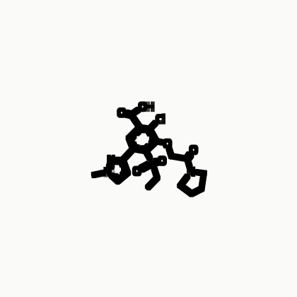 CCS(=O)(=O)c1c(-c2ccn(C)n2)cc(C(=O)O)c(Cl)c1OCC(=O)N1CCCC1